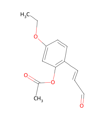 CCOc1ccc(C=CC=O)c(OC(C)=O)c1